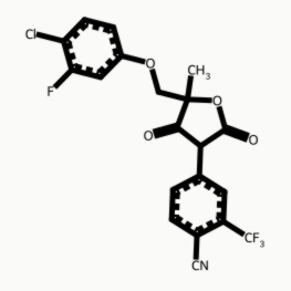 CC1(COc2ccc(Cl)c(F)c2)OC(=O)C(c2ccc(C#N)c(C(F)(F)F)c2)C1=O